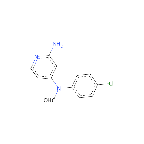 Nc1cc(N(C=O)c2ccc(Cl)cc2)ccn1